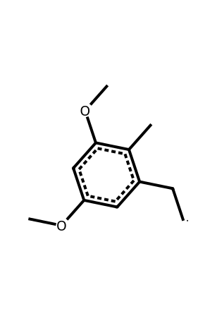 [CH2]Cc1cc(OC)cc(OC)c1C